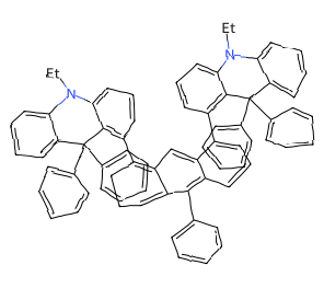 CCN1c2ccccc2C(c2ccccc2)(c2ccccc2)c2c(C3=c4cc5c(-c6cccc7c6C(c6ccccc6)(c6ccccc6)c6ccccc6N7CC)cccc5c(-c5ccccc5)c4=CCC3)cccc21